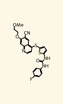 COCCOc1cc2nccc(Sc3ccc(NC(=O)Nc4ccc(F)cc4)s3)c2cc1C#N